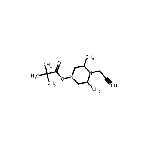 C#CCN1C(C)CN(OC(=O)C(C)(C)C)CC1C